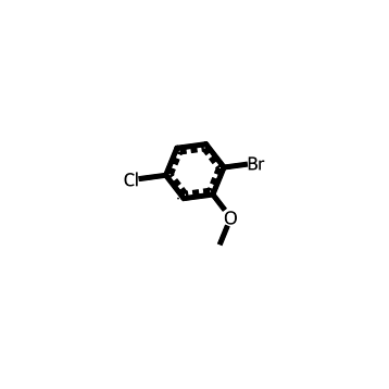 COc1[c]c(Cl)ccc1Br